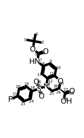 CC(C)(C)OC(=O)Nc1ccc2c(c1)N(S(=O)(=O)c1ccc(F)cc1)C[C@H](C(=O)O)O2